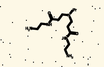 CC(C)N(CCC(=O)NCCN)CCC(=O)NCCN